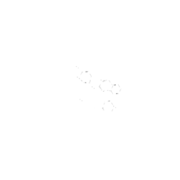 c1cc(-c2cc(OCCN3CCOCC3)ccn2)c2nc(Nc3ccc(N4CCOCC4)nc3)ncc2c1